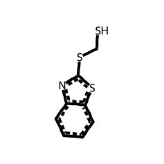 SCSc1nc2ccccc2s1